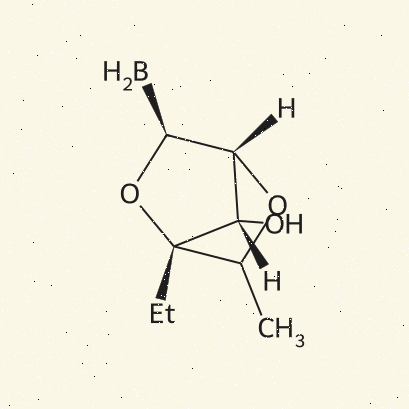 B[C@@H]1O[C@@]2(CC)C(C)O[C@@H]1[C@@H]2O